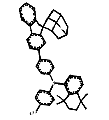 CC(C)(C)c1ccc(N(c2ccc(-c3ccc4c(c3)C3(c5ccccc5-4)C4CC5CC6CC3C64C5)cc2)c2cccc3c2C(C)(C)CCC3(C)C)cc1